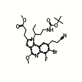 CCC(CCNC(=O)OC(C)(C)C)n1c(CCC(=O)OC)cc2c(OC)nc3c(F)c(Br)c(CCC#N)cc3c21